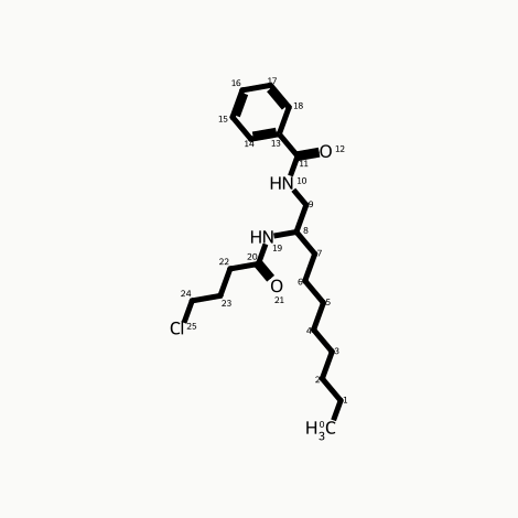 CCCCCCCCC(CNC(=O)c1ccccc1)NC(=O)CCCCl